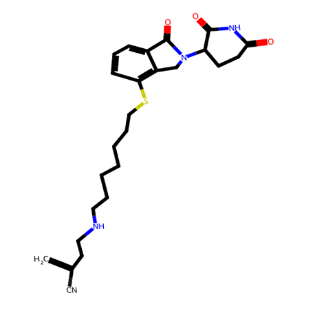 C=C(C#N)CCNCCCCCCCSc1cccc2c1CN(C1CCC(=O)NC1=O)C2=O